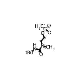 CN(CCOS(C)(=O)=O)C(=O)NC(C)(C)C